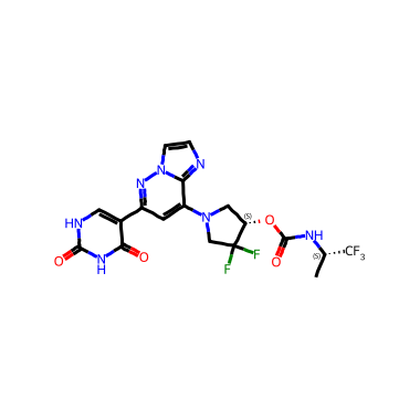 C[C@H](NC(=O)O[C@H]1CN(c2cc(-c3c[nH]c(=O)[nH]c3=O)nn3ccnc23)CC1(F)F)C(F)(F)F